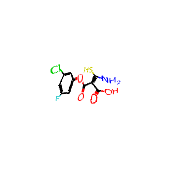 NC(S)=C(C(=O)O)C(=O)Oc1cc(F)cc(Cl)c1